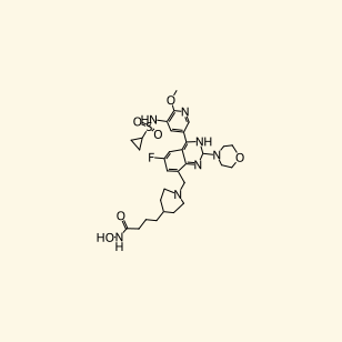 COc1ncc(C2=c3cc(F)cc(CN4CCC(CCCC(=O)NO)CC4)c3=NC(N3CCOCC3)N2)cc1NS(=O)(=O)C1CC1